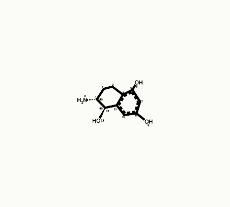 N[C@@H]1CCc2c(O)cc(O)cc2[C@H]1O